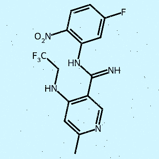 Cc1cc(NCC(F)(F)F)c(C(=N)Nc2cc(F)ccc2[N+](=O)[O-])cn1